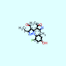 CCc1nn(-c2ccc(O)cc2F)c(-c2c(C)noc2C)c1C=O